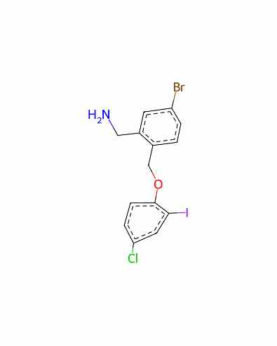 NCc1cc(Br)ccc1COc1ccc(Cl)cc1I